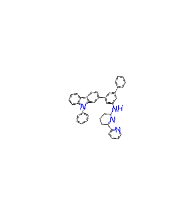 C1=C(Nc2cc(-c3ccccc3)cc(-c3ccc4c5ccccc5n(-c5ccccc5)c4c3)c2)N=C(c2ccccn2)CC1